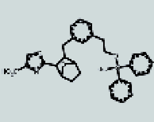 CC(C)(C)[Si](OCCc1cccc(CC2C3CCC(O3)C2c2nc(C(=O)O)co2)c1)(c1ccccc1)c1ccccc1